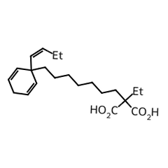 CC/C=C\C1(CCCCCCCC(CC)(C(=O)O)C(=O)O)C=CCC=C1